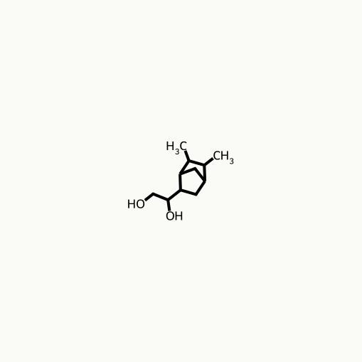 CC1C2CC(C(O)CO)C(C2)C1C